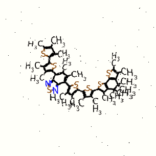 Cc1sc(-c2sc(-c3c(C)c(C)c(-c4sc(-c5sc(-c6sc7c(c6C)C(C)(C)C(C)(C)c6c-7sc(C)c6C)c(C)c5C)c(C)c4C)c4nsnc34)c(C)c2C)c(C)c1C